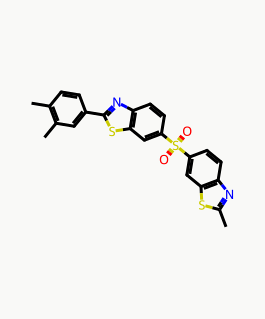 Cc1nc2ccc(S(=O)(=O)c3ccc4nc(-c5ccc(C)c(C)c5)sc4c3)cc2s1